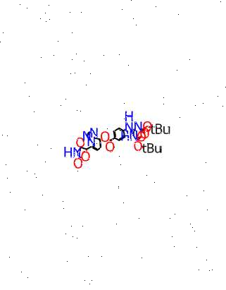 CC(C)(C)OC(=O)/N=C(\NC(=O)OC(C)(C)C)Nc1ccc(C(=O)Oc2ccc(C3OC(=O)NC3=O)n3ncnc23)cc1